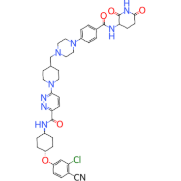 N#Cc1ccc(O[C@H]2CC[C@H](NC(=O)c3ccc(N4CCC(CN5CCN(c6ccc(C(=O)NC7CCC(=O)NC7=O)cc6)CC5)CC4)nn3)CC2)cc1Cl